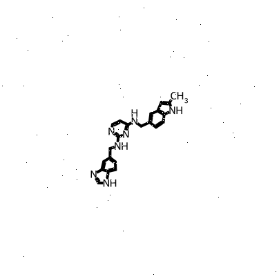 Cc1cc2cc(CNc3ccnc(NCc4ccc5[nH]cnc5c4)n3)ccc2[nH]1